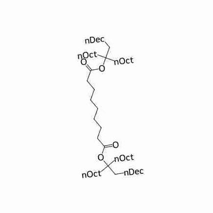 CCCCCCCCCCCC(CCCCCCCC)(CCCCCCCC)OC(=O)CCCCCCCC(=O)OC(CCCCCCCC)(CCCCCCCC)CCCCCCCCCCC